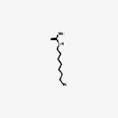 C=C(CCCC)NCCCCCCCC(C)CC